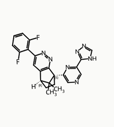 CC1(C)[C@H]2CC[C@]1(c1cncc(-c3nnc[nH]3)n1)c1nnc(-c3c(F)cccc3F)cc12